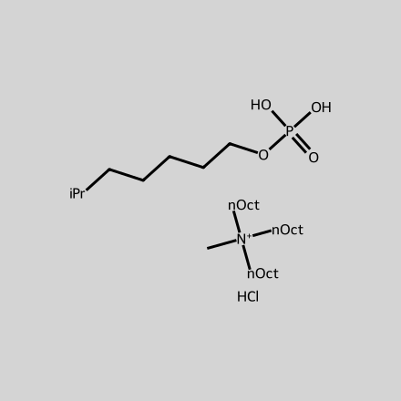 CC(C)CCCCCOP(=O)(O)O.CCCCCCCC[N+](C)(CCCCCCCC)CCCCCCCC.Cl